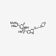 CN/C=C(\C=N)c1cc(F)c(=N)n(C(=N)C(F)(F)c2ccc3ncc(OCCCN4CCOCC4)cc3c2)c1